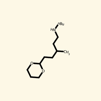 CCCCNCCC(C)CCC1OCCCO1